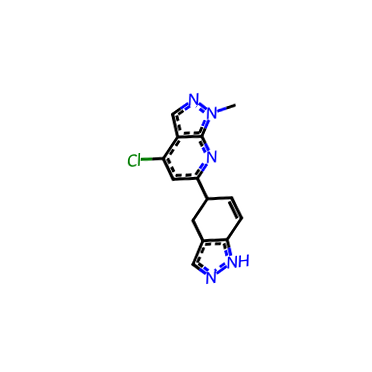 Cn1ncc2c(Cl)cc(C3C=Cc4[nH]ncc4C3)nc21